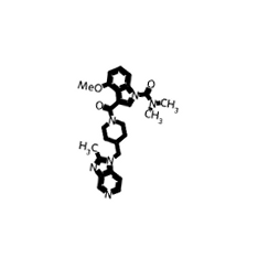 COc1cccc2c1c(C(=O)N1CCC(Cn3c(C)nc4cnccc43)CC1)cn2C(=O)N(C)C